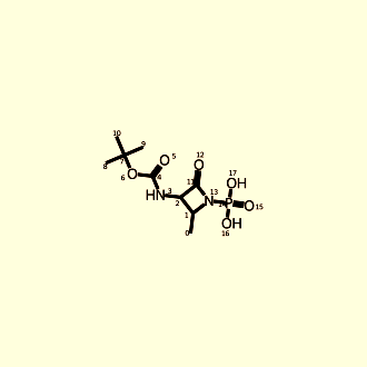 CC1C(NC(=O)OC(C)(C)C)C(=O)N1P(=O)(O)O